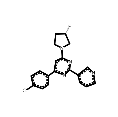 F[C@H]1CCN(c2cc(-c3ccc(Cl)cc3)nc(-c3cccnc3)n2)C1